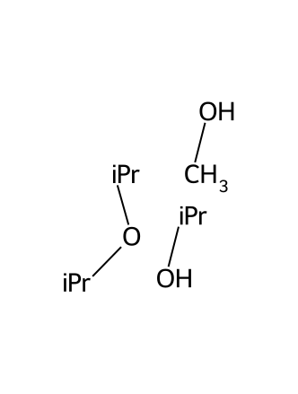 CC(C)O.CC(C)OC(C)C.CO